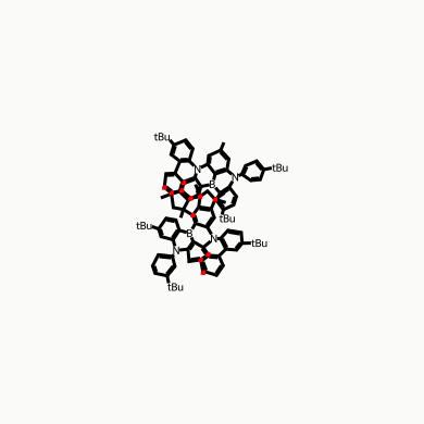 Cc1cc2c3c(c1)N(c1ccc(C(C)(C)C)cc1-c1cccc(CC4(C)CC(C)(C)c5cc6c(cc54)B4c5ccc(C(C)(C)C)cc5N(c5cccc(C(C)(C)C)c5)c5cc(C)cc(c54)N6c4ccc(C(C)(C)C)cc4-c4ccccc4)c1)c1cc4c(cc1B3c1cc(C(C)(C)C)ccc1N2c1ccc(C(C)(C)C)cc1)C(C)(C)CC4(C)C